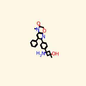 CN1C(=O)COc2nc(-c3ccc(C4(N)CC(C)(O)C4)cc3)c(-c3ccccc3)cc21